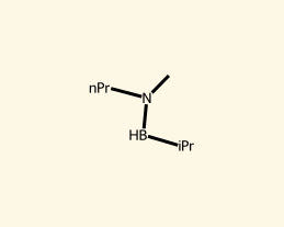 CCCN(C)BC(C)C